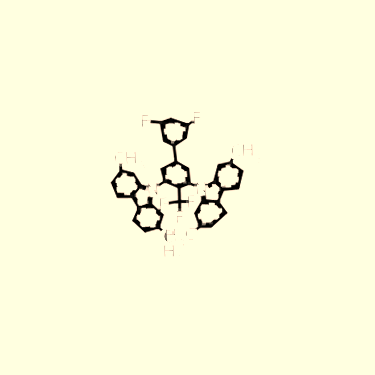 Cc1ccc2c3ccc(C)cc3n(-c3cc(-c4cc(F)cc(F)c4)cc(-n4c5cc(C)ccc5c5ccc(C)cc54)c3C(F)(F)F)c2c1